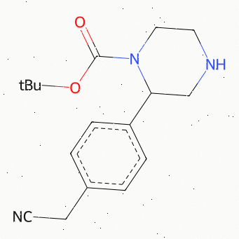 CC(C)(C)OC(=O)N1CCNCC1c1ccc(CC#N)cc1